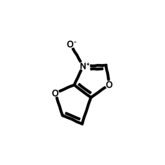 [O-][n+]1coc2ccoc21